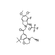 COc1cc2c(c(F)c1OC)C(=NC(=O)C(F)(F)F)N(CC(=O)c1cc3c(c(C(C)(C)C)c1)OCCN3CC#N)C2